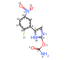 NC(=O)Oc1ncc(-c2cc([N+](=O)[O-])ccc2F)[nH]1